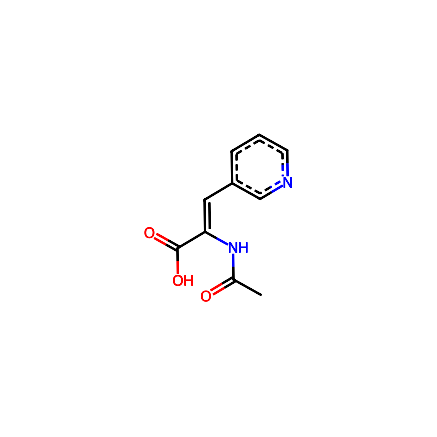 CC(=O)N/C(=C\c1cccnc1)C(=O)O